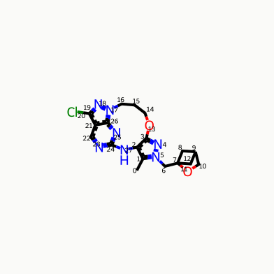 Cc1c2c(nn1CC13CC(CO1)C3)OCCCn1nc(Cl)c3cnc(nc31)N2